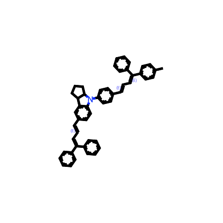 Cc1ccc(/C(=C/C=C/c2ccc(N3c4ccc(/C=C/C=C(c5ccccc5)c5ccccc5)cc4C4CCCC43)cc2)c2ccccc2)cc1